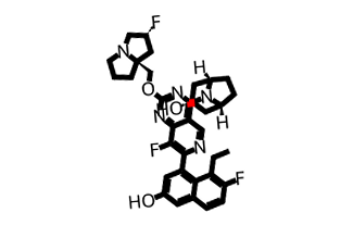 CCc1c(F)ccc2cc(O)cc(-c3ncc4c(N5[C@@H]6CC[C@H]5C[C@@H](O)C6)nc(OC[C@@]56CCCN5C[C@H](F)C6)nc4c3F)c12